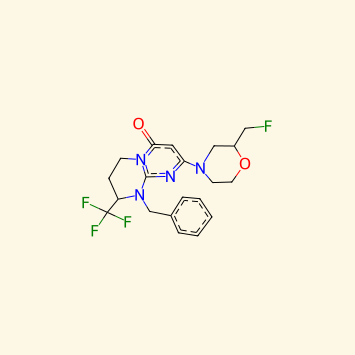 O=c1cc(N2CCOC(CF)C2)nc2n1CCC(C(F)(F)F)N2Cc1ccccc1